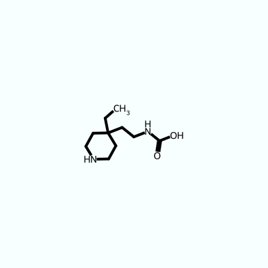 CCC1(CCNC(=O)O)CCNCC1